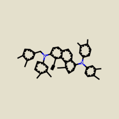 C#Cc1c(N(Cc2ccc(C)c(C)c2)c2ccc(C)c(C)c2)ccc2ccc3c(N(c4ccc(C)c(C)c4)c4ccc(C)c(C)c4)ccc(C)c3c12